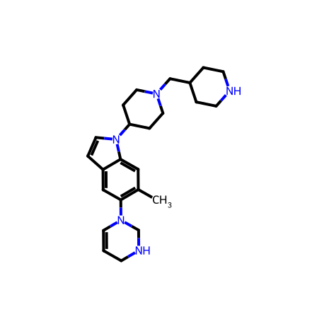 Cc1cc2c(ccn2C2CCN(CC3CCNCC3)CC2)cc1N1C=CCNC1